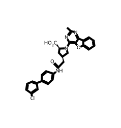 Cc1nc(N2C[C@@H](CC(=O)Nc3ccc(-c4cccc(Cl)c4)cc3)C[C@H]2C(=O)O)c2oc3ccccc3c2n1